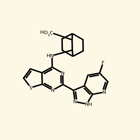 O=C(O)C1C2CCC(CC2)C1Nc1nc(-c2n[nH]c3ncc(F)cc23)nc2sccc12